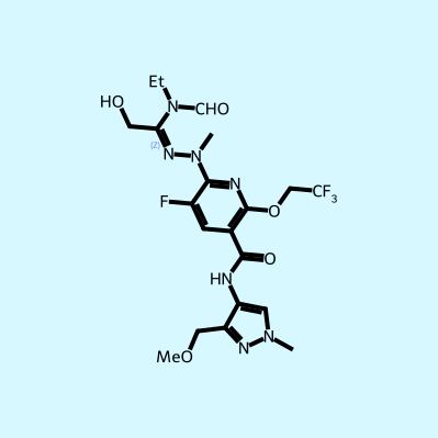 CCN(C=O)/C(CO)=N\N(C)c1nc(OCC(F)(F)F)c(C(=O)Nc2cn(C)nc2COC)cc1F